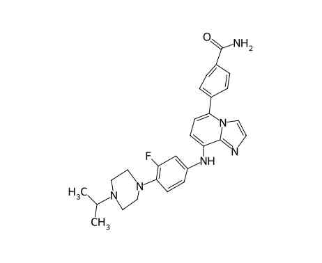 CC(C)N1CCN(c2ccc(Nc3ccc(-c4ccc(C(N)=O)cc4)n4ccnc34)cc2F)CC1